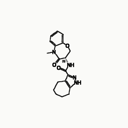 CN1C(=O)[C@@H](NC(=O)c2n[nH]c3c2CCCCC3)COc2ccccc21